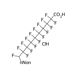 CCCCCCCCCC(F)C(F)(F)C(F)(F)C(F)(F)C(F)(F)C(F)(F)C(F)(F)C(F)(F)C(F)(F)C(=O)O.Cl